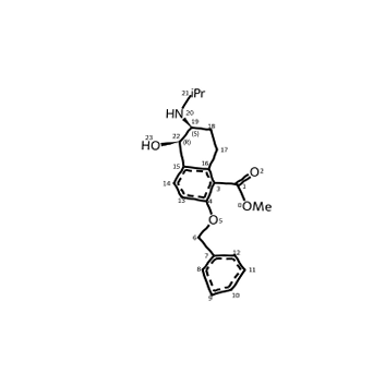 COC(=O)c1c(OCc2ccccc2)ccc2c1CC[C@H](NC(C)C)[C@@H]2O